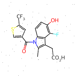 Cc1c(CC(=O)O)c2c(F)c(O)ccc2n1C(=O)c1csc(C(F)(F)F)c1